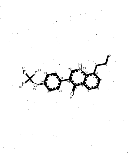 CCCc1cccc2c(=O)c(-c3ccc(OC(F)(F)F)cc3)c[nH]c12